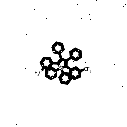 FC(F)(F)c1cccc(C2=C(c3ccccc3)C(c3ccccc3)=C(c3cccc(C(F)(F)F)c3)[Si]2(c2ccccc2)c2ccccc2)c1